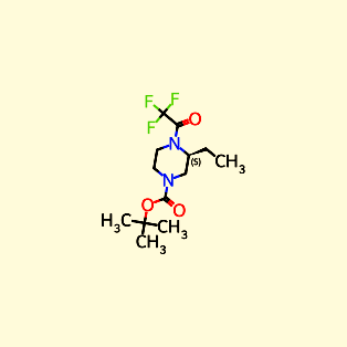 CC[C@H]1CN(C(=O)OC(C)(C)C)CCN1C(=O)C(F)(F)F